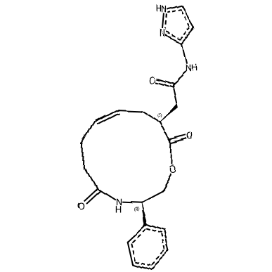 O=C(C[C@@H]1CC=CCCC(=O)N[C@H](c2ccccc2)COC1=O)Nc1cc[nH]n1